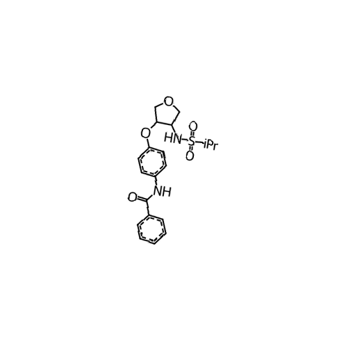 CC(C)S(=O)(=O)NC1COCC1Oc1ccc(NC(=O)c2ccccc2)cc1